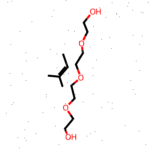 CC=C(C)C.OCCOCCOCCOCCO